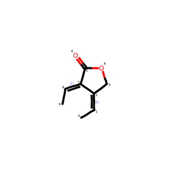 C/C=C1/COC(=O)/C1=C/C